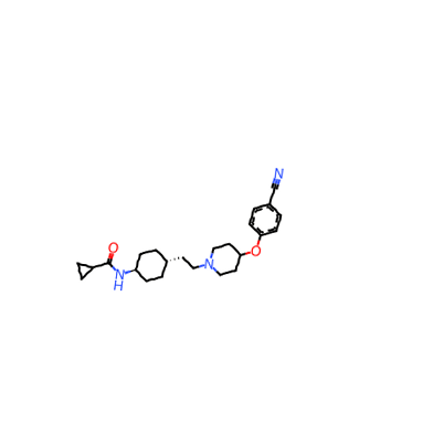 N#Cc1ccc(OC2CCN(CC[C@H]3CC[C@H](NC(=O)C4CC4)CC3)CC2)cc1